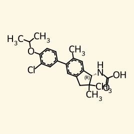 Cc1cc2c(cc1-c1ccc(OC(C)C)c(Cl)c1)CC(C)(C)[C@H]2NC(=O)O